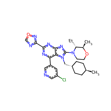 CC[C@@H]1[C@@H](C)OCCN1c1nc2nc(-c3ncon3)nc(-c3cncc(Cl)c3)c2n1C[C@H]1CC[C@H](C)CC1